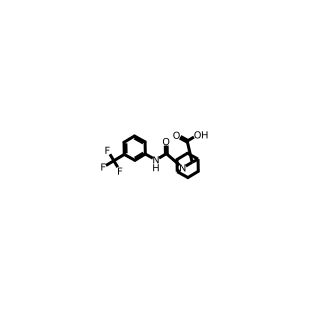 O=C(O)C1C2CCC(CC2)N1C(=O)Nc1cccc(C(F)(F)F)c1